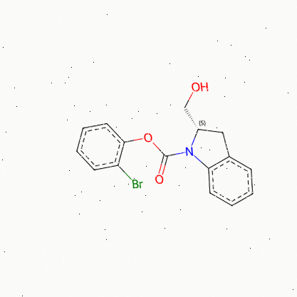 O=C(Oc1ccccc1Br)N1c2ccccc2C[C@H]1CO